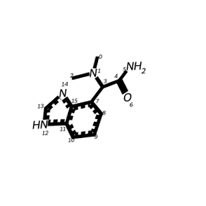 CN(C)C(C(N)=O)c1cccc2[nH]cnc12